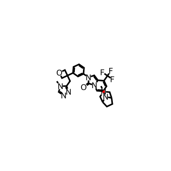 CN1CC2CCC(C1)N2c1cc(C(F)(F)F)c2cn(-c3cccc(C4(Cc5nncn5C)COC4)c3)c(=O)n2c1